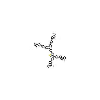 CC1(C)c2ccccc2-c2ccc(-c3ccc(C4=CC5C6C=C(c7ccc(-c8ccc9c(c8)C(C)(C)c8ccccc8-9)cc7)C=CC6C(C6CCC(C7CCC(C(c8ccc(-c9ccc%10c(c9)C(C)(C)c9ccccc9-%10)cc8)C8CCC(c9ccc%10c(c9)C(C)(C)c9ccccc9-%10)CC8)C8CSCC78)CC6)C5C=C4)cc3)cc21